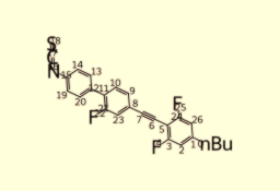 CCCCc1cc(F)c(C#Cc2ccc(-c3ccc(N=C=S)cc3)c(F)c2)c(F)c1